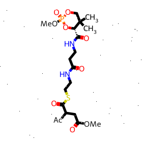 COC(=O)CC(C(C)=O)C(=O)SCCNC(=O)CCNC(=O)[C@@H]1OP(=O)(OC)OCC1(C)C